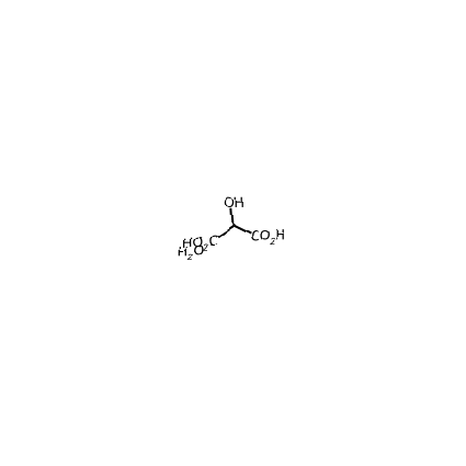 O.O=C(O)C(O)C(=O)O